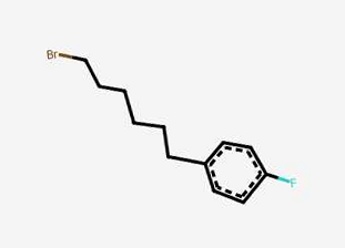 Fc1ccc(CCCCCCBr)cc1